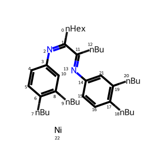 CCCCCCC(=Nc1ccc(CCCC)c(CCCC)c1)C(CCCC)=Nc1ccc(CCCC)c(CCCC)c1.[Ni]